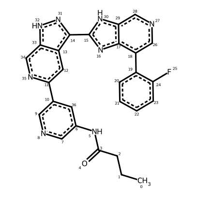 CCCC(=O)Nc1cncc(-c2cc3c(-c4nc5c(-c6ccccc6F)cncc5[nH]4)n[nH]c3cn2)c1